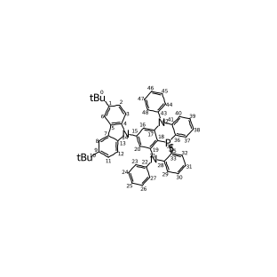 CC(C)(C)c1ccc2c(c1)c1cc(C(C)(C)C)ccc1n2-c1cc2c3c(c1)N(c1ccccc1)c1ccccc1P3(=S)c1ccccc1N2c1ccccc1